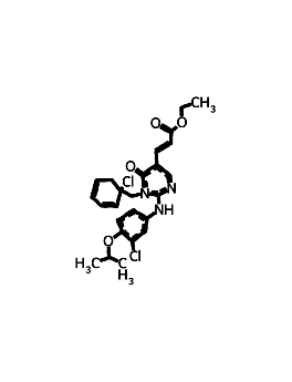 CCOC(=O)C=Cc1cnc(Nc2ccc(OC(C)C)c(Cl)c2)n(CC2(Cl)C=CC=CC2)c1=O